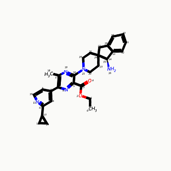 CCOC(=O)c1nc(-c2ccnc(C3CC3)c2)c(C)nc1N1CCC2(CC1)Cc1ccccc1[C@H]2N